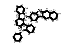 c1ccc(-n2c3ccccc3c3c2ccc2c4ccccc4n(-c4ccc5c(c4)sc4cc6ccccc6cc45)c23)cc1